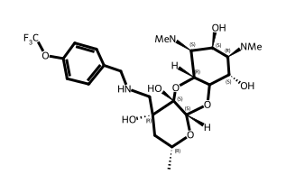 CN[C@@H]1[C@H](O)[C@H](NC)[C@H]2O[C@]3(O)[C@H](OC2[C@H]1O)O[C@H](C)C[C@@]3(O)CNCc1ccc(OC(F)(F)F)cc1